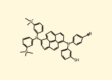 C[Si](C)(C)c1cccc(N(c2cccc([Si](C)(C)C)c2)c2ccc3ccc4c(N(c5ccc(C#N)cc5)c5cccc(S)c5)ccc5ccc2c3c54)c1